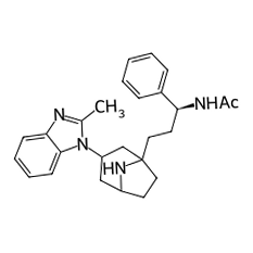 CC(=O)N[C@@H](CCC12CCC(CC(n3c(C)nc4ccccc43)C1)N2)c1ccccc1